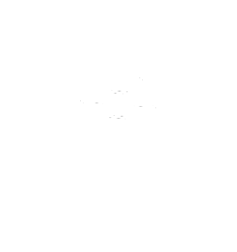 C=CCOc1c(C#N)c(C#N)c(C#N)c(C#N)c1C#N